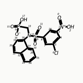 O=[N+](O)c1cc(Cl)cc(S(=O)(=O)N(CP(=O)([O-])O)c2cccc3ccccc23)c1